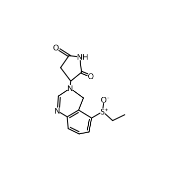 CC[S+]([O-])c1cccc2c1CN(C1CC(=O)NC1=O)C=N2